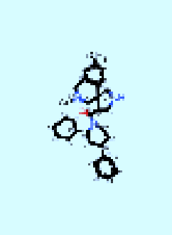 CC(=O)N1Cc2cc(C)ccc2[C@@]2(CNCC2C(=O)N2CC[C@@H](c3ccccc3)C[C@H]2C2CCCCC2)C1